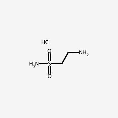 Cl.NCCS(N)(=O)=O